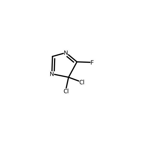 FC1=NC=NC1(Cl)Cl